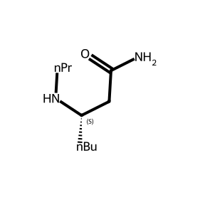 CCCC[C@@H](CC(N)=O)NCCC